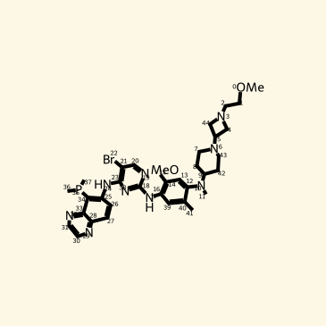 COCCN1CC(N2CCC(N(C)c3cc(OC)c(Nc4ncc(Br)c(Nc5ccc6nccnc6c5P(C)C)n4)cc3C)CC2)C1